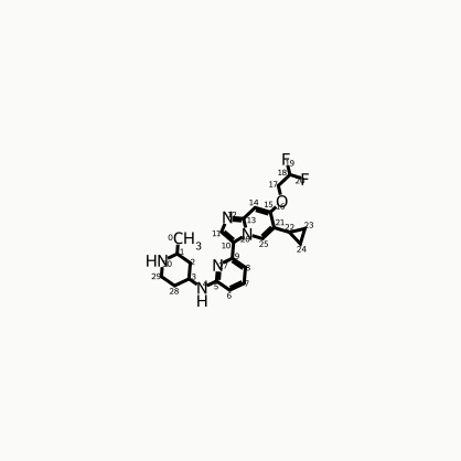 CC1CC(Nc2cccc(-c3cnc4cc(OCC(F)F)c(C5CC5)cn34)n2)CCN1